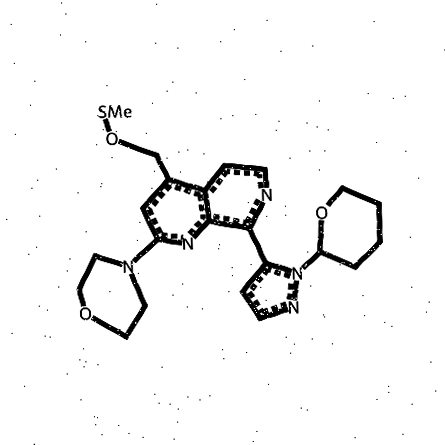 CSOCc1cc(N2CCOCC2)nc2c(-c3ccnn3C3CCCCO3)nccc12